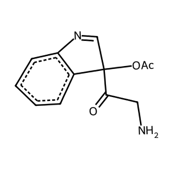 CC(=O)OC1(C(=O)CN)C=Nc2ccccc21